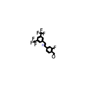 O=Cc1ccc(/C=C/c2cc(C(F)(F)F)cc(C(F)(F)F)c2)cc1F